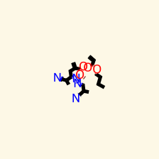 C=C(CC(N=NCC(C)C#N)C(C)C#N)C(=O)OC.C=CC(=O)OCCCC